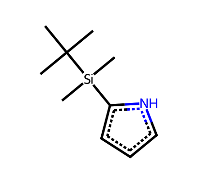 CC(C)(C)[Si](C)(C)c1ccc[nH]1